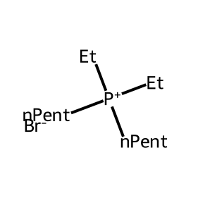 CCCCC[P+](CC)(CC)CCCCC.[Br-]